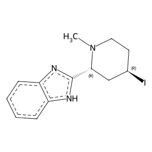 CN1CC[C@@H](I)C[C@@H]1c1nc2ccccc2[nH]1